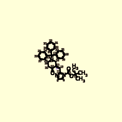 CC(C)(C)OC(=O)n1ccnc1/C=C1/CN(C(c2ccccc2)(c2ccccc2)c2ccccc2)CCC1=O